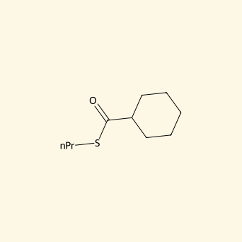 CCCSC(=O)C1CCCCC1